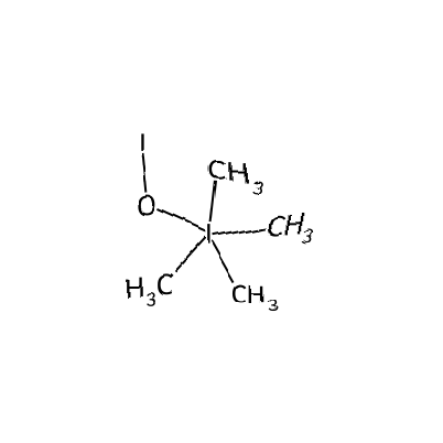 CI(C)(C)(C)OI